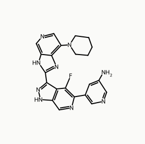 Nc1cncc(-c2ncc3[nH]nc(-c4nc5c(N6CCCCC6)cncc5[nH]4)c3c2F)c1